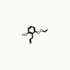 C=CCc1c(O)cccc1OOCC